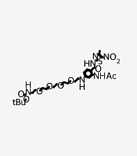 CC(=O)Nc1cc(NCCOCCOCCOCCOCCNC(=O)OC(C)(C)C)ccc1C(=O)Nc1nc(C)c([N+](=O)[O-])s1